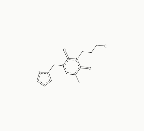 Cc1cn(Cc2cccs2)c(=O)n(CCCCl)c1=O